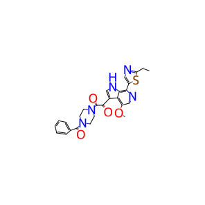 CCc1ncc(-c2ncc(OC)c3c(C(=O)C(=O)N4CCN(C(=O)c5ccccc5)CC4)c[nH]c23)s1